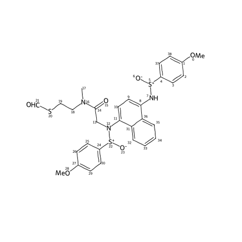 COc1ccc([S+]([O-])Nc2ccc(N(CC(=O)N(C)CCSC=O)[S+]([O-])c3ccc(OC)cc3)c3ccccc23)cc1